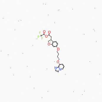 O=C(CC1COc2cc(OCCCCOc3cccn4ccnc34)ccc21)OC(=O)C(F)(F)F